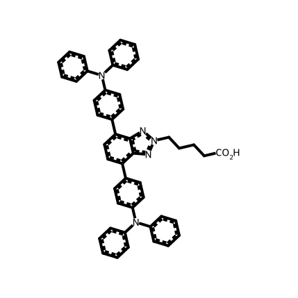 O=C(O)CCCCn1nc2c(-c3ccc(N(c4ccccc4)c4ccccc4)cc3)ccc(-c3ccc(N(c4ccccc4)c4ccccc4)cc3)c2n1